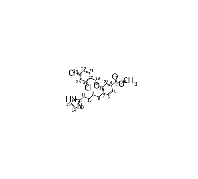 COC(=O)c1ccc(CCCCc2ncc[nH]2)c(OCc2ccc(Cl)cc2Cl)c1